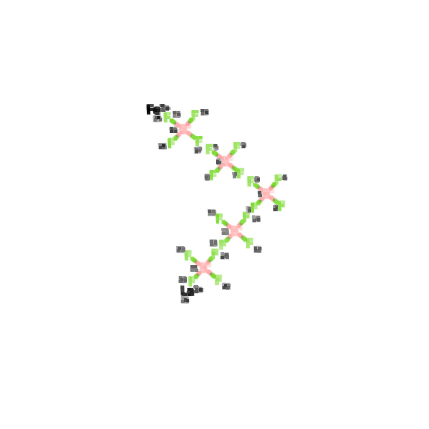 F[B-](F)(F)F.F[B-](F)(F)F.F[B-](F)(F)F.F[B-](F)(F)F.F[B-](F)(F)F.[Fe+2].[La+3]